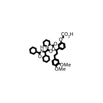 COc1ccc(CCC(OC(=O)[C@@H]2CCCCN2C(=O)C(NC(=O)C2CCCCC2)C2CCCCC2)c2cccc(OCC(=O)O)c2)cc1OC